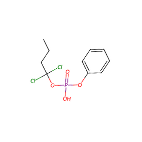 CCCC(Cl)(Cl)OP(=O)(O)Oc1ccccc1